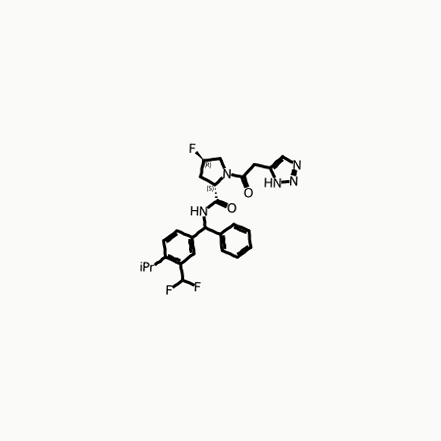 CC(C)c1ccc(C(NC(=O)[C@@H]2C[C@@H](F)CN2C(=O)Cc2cnn[nH]2)c2ccccc2)cc1C(F)F